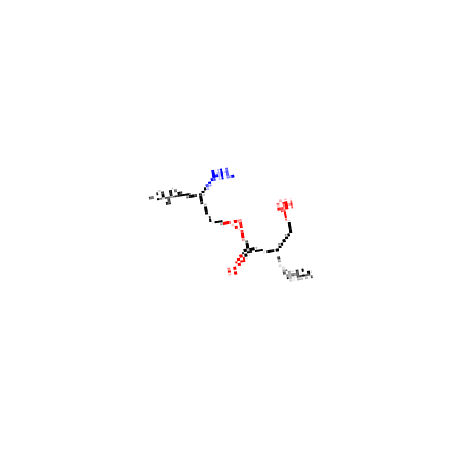 CC(=O)N[C@@H](CO)C(=O)OC[C@H](N)C(=O)O